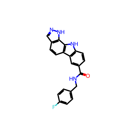 O=C(NCc1ccc(F)cc1)c1ccc2[nH]c3c(ccc4cn[nH]c43)c2c1